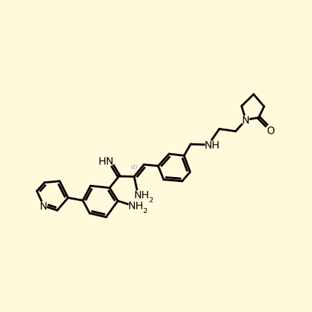 N=C(/C(N)=C/c1cccc(CNCCN2CCCC2=O)c1)c1cc(-c2cccnc2)ccc1N